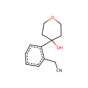 N#CCc1ccccc1C1(O)CCOCC1